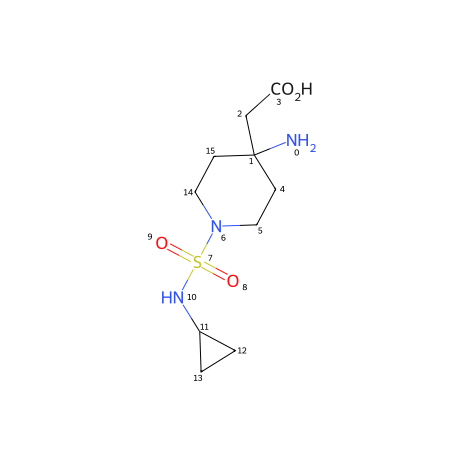 NC1(CC(=O)O)CCN(S(=O)(=O)NC2CC2)CC1